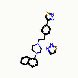 c1ccc2c(N3CCN(CCc4ccc(-c5csnn5)cc4)CC3)cccc2c1.c1csnn1